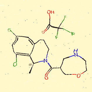 C[C@H]1c2c(Cl)cc(Cl)cc2CCN1C(=O)C1CNCCOC1.O=C(O)C(F)(F)F